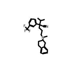 CC(C)C(C#N)(CCCN(C)C1CCc2ccccc2C1)c1cccc(C(F)(F)F)c1